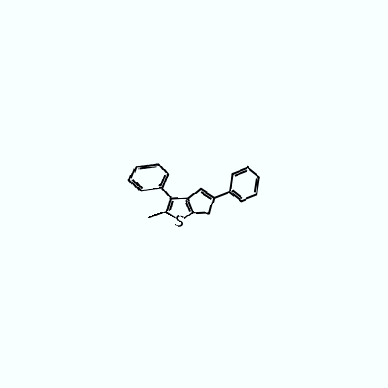 Cc1sc2c(c1-c1ccccc1)C=C(c1ccccc1)C2